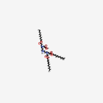 CCCCCCCCCCCOC(=O)CCN(CCCN(C)CCCN(CCC(=O)OCCCCCCCCCCC)CCC(=O)OCCCCCCCCCCC)CCC(=O)OC